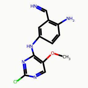 COc1cnc(Cl)nc1Nc1ccc(N)c(C=N)c1